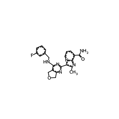 Cc1nc2c(C(N)=O)cccn2c1-c1nc2c(c(NCc3cccc(F)c3)n1)COC2